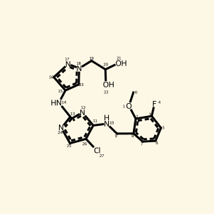 COc1c(F)cccc1CNc1nc(Nc2cnn(CC(O)O)c2)ncc1Cl